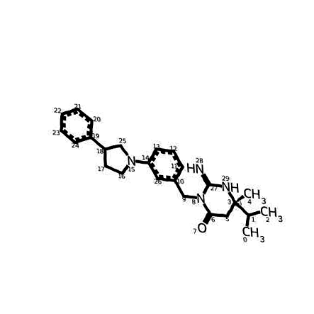 CC(C)[C@]1(C)CC(=O)N(Cc2cccc(N3CCC(c4ccccc4)C3)c2)C(=N)N1